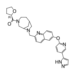 O=C([C@H]1CCCO1)N1CCC2CC(C1)N(Cc1ccc3cc(Oc4ccc(-c5ccn[nH]5)cn4)ccc3n1)C2